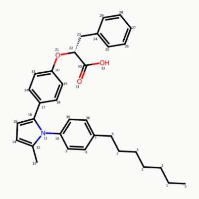 CCCCCCCc1ccc(-n2c(C)ccc2-c2ccc(O[C@H](Cc3ccccc3)C(=O)O)cc2)cc1